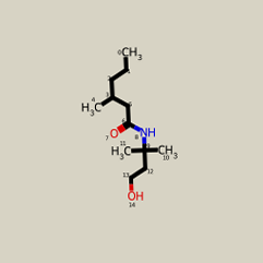 CCCC(C)CC(=O)NC(C)(C)CCO